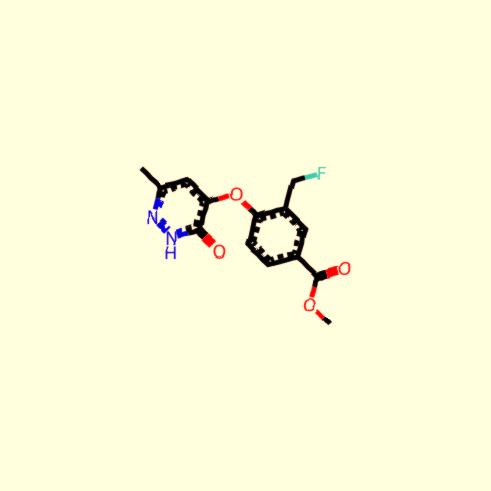 COC(=O)c1ccc(Oc2cc(C)n[nH]c2=O)c(CF)c1